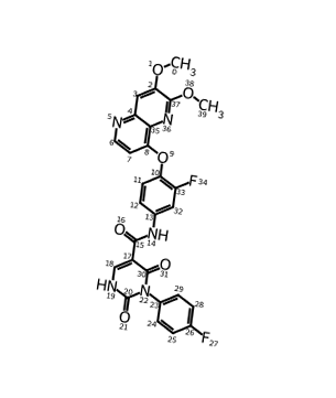 COc1cc2nccc(Oc3ccc(NC(=O)c4c[nH]c(=O)n(-c5ccc(F)cc5)c4=O)cc3F)c2nc1OC